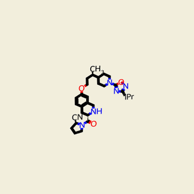 CC(C)c1noc(N2CCC([C@H](C)CCOc3ccc4c(c3)CN[C@H](C(=O)N3CCC[C@H]3C#N)C4)CC2)n1